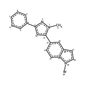 Cn1nc(-c2cccnc2)cc1-c1ccc2c(ccn2Br)c1